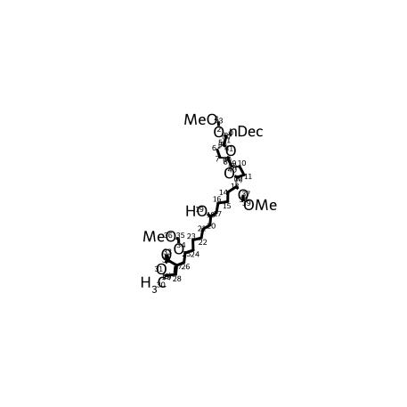 CCCCCCCCCC[C@@H](OCOC)[C@H]1CC[C@H]([C@H]2CC[C@H](C(CCCCC(O)CCCCCC(CC3=C[C@H](C)OC3=O)OCOC)OCOC)O2)O1